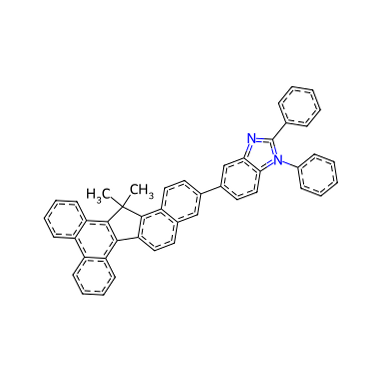 CC1(C)c2c(ccc3cc(-c4ccc5c(c4)nc(-c4ccccc4)n5-c4ccccc4)ccc23)-c2c1c1ccccc1c1ccccc21